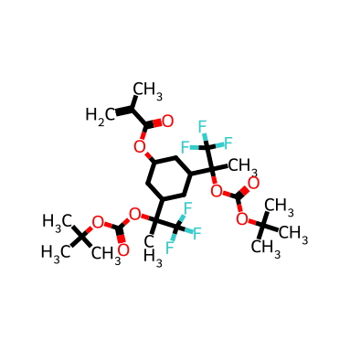 C=C(C)C(=O)OC1CC(C(C)(OC(=O)OC(C)(C)C)C(F)(F)F)CC(C(C)(OC(=O)OC(C)(C)C)C(F)(F)F)C1